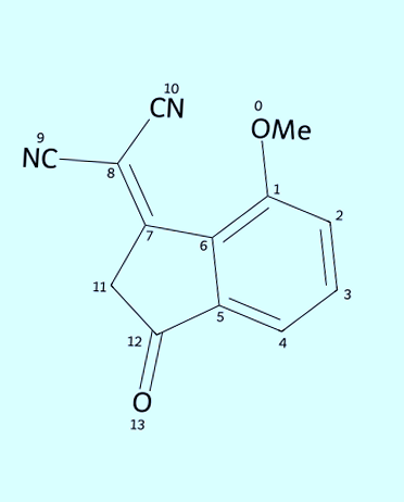 COc1cccc2c1C(=C(C#N)C#N)CC2=O